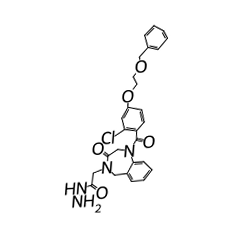 NNC(=O)CN1Cc2ccccc2N(C(=O)c2ccc(OCCOCc3ccccc3)cc2Cl)CC1=O